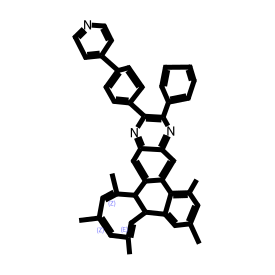 CC1=C/C(C)=C/C2c3cc(C)cc(C)c3-c3cc4nc(-c5ccccc5)c(-c5ccc(-c6ccncc6)cc5)nc4cc3C2/C(C)=C\1